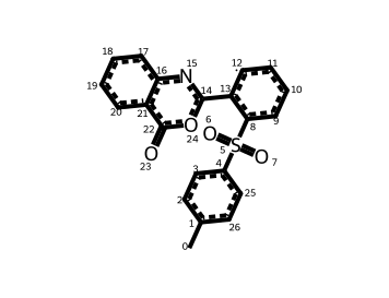 Cc1ccc(S(=O)(=O)c2ccc[c]c2-c2nc3ccccc3c(=O)o2)cc1